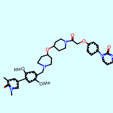 COc1cc(-c2cc(C)c(=O)n(C)c2)c(OC)cc1CN1CCC(OC2CCN(C(=O)COc3ccc(-n4ccc(=O)[nH]c4=O)cc3)CC2)CC1